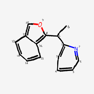 [CH2]C(c1ccccn1)c1occ2ccccc12